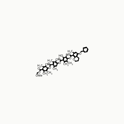 COCOC(=O)c1c(C)c(C)c(OC(=O)c2c(C)cc(OC(=O)c3c(C)c(C)c(OC(=O)c4c(C)cc(OCc5ccccc5)c5c4OCCC5)c(Br)c3O)c(C)c2C)c(C)c1C